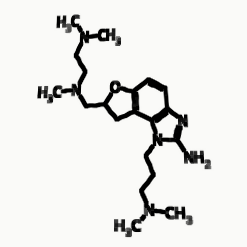 CN(C)CCCn1c(N)nc2ccc3c(c21)CC(CN(C)CCN(C)C)O3